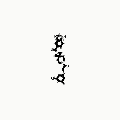 O=C(COc1cc(Cl)cc(Cl)c1)N1CCC2(CC1)CN(C(=O)c1ccc3[nH]nnc3c1)C2